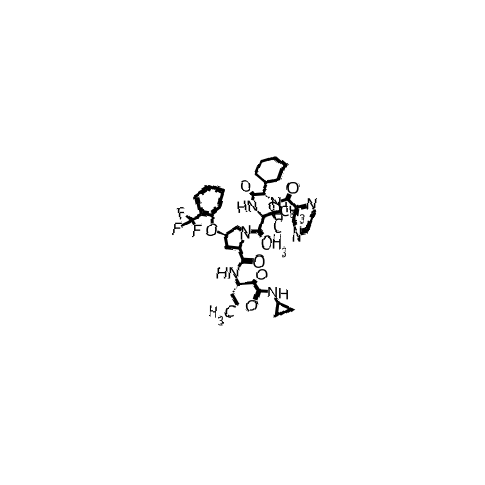 CCC[C@H](NC(=O)C1C[C@@H](Oc2ccccc2C(F)(F)F)CN1C(=O)[C@@H](NC(=O)[C@@H](NC(=O)c1cnccn1)C1CCCCC1)C(C)(C)C)C(=O)C(=O)NC1CC1